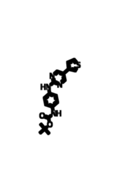 CC(C)(C)OC(=O)Nc1ccc(Nc2ncc(-c3ccsc3)cn2)cc1